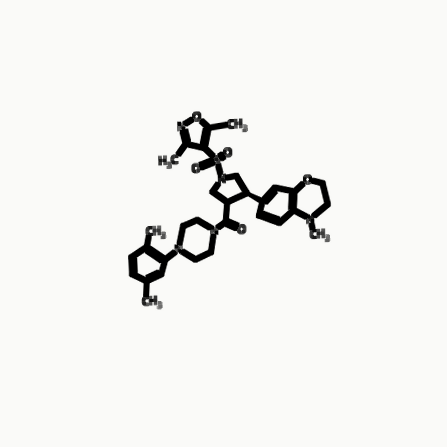 Cc1ccc(C)c(N2CCN(C(=O)C3CN(S(=O)(=O)c4c(C)noc4C)C[C@H]3c3ccc4c(c3)OCCN4C)CC2)c1